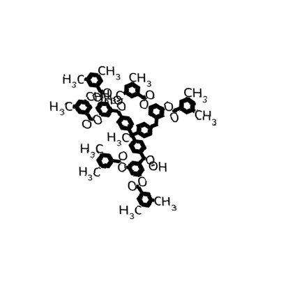 Cc1cc(C)cc(C(=O)Oc2cc(Cc3ccc(C(C)(c4ccc(C(OO)c5cc(OC(=O)c6cc(C)cc(C)c6)cc(OC(=O)c6cc(C)cc(C)c6)c5)cc4)c4ccc(C(OO)c5cc(OC(=O)c6cc(C)cc(C)c6)cc(OC(=O)c6cc(C)cc(C)c6)c5)cc4)cc3)cc(OC(=O)c3cc(C)cc(C)c3)c2)c1